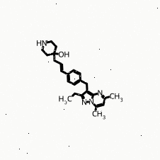 CCc1nn2c(C)cc(C)nc2c1Cc1ccc(C=CCC2(O)CCNCC2)cc1